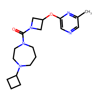 Cc1cncc(OC2CN(C(=O)N3CCCN(C4CCC4)CC3)C2)n1